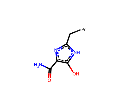 CC(C)Cc1nc(C(N)=O)c(O)[nH]1